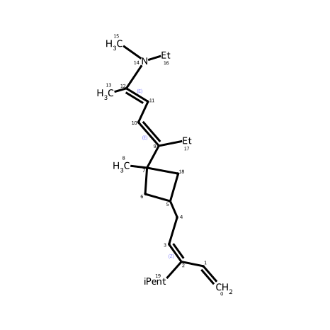 C=C/C(=C\CC1CC(C)(/C(=C/C=C(\C)N(C)CC)CC)C1)C(C)CCC